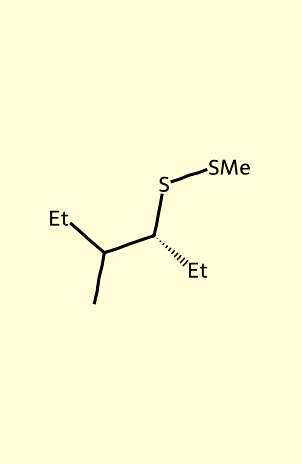 CCC(C)[C@@H](CC)SSC